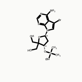 CC(C)(C)[Si](C)(C)O[C@H]1C[C@H](n2cc(Br)c3c(N)ncnc32)OC1(CO)CO